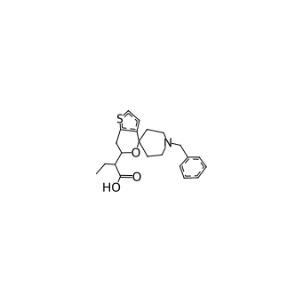 CCC(C(=O)O)C1Cc2sccc2C2(CCN(Cc3ccccc3)CC2)O1